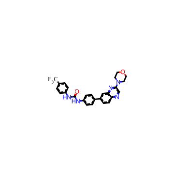 O=C(Nc1ccc(-c2ccc3ncc(N4CCOCC4)nc3c2)cc1)Nc1ccc(C(F)(F)F)cc1